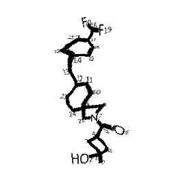 CC1(O)CC(C(=O)N2CC3(CCC(Cc4ccc(C(F)F)cc4)CC3)C2)C1